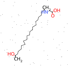 C=C(O)CCCCCCCCCCCCCCCCCCC(=C)NCC(=O)O